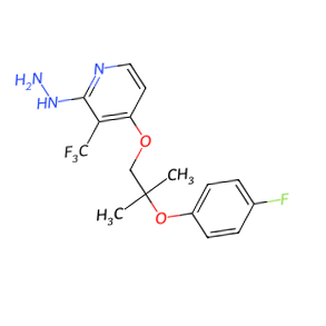 CC(C)(COc1ccnc(NN)c1C(F)(F)F)Oc1ccc(F)cc1